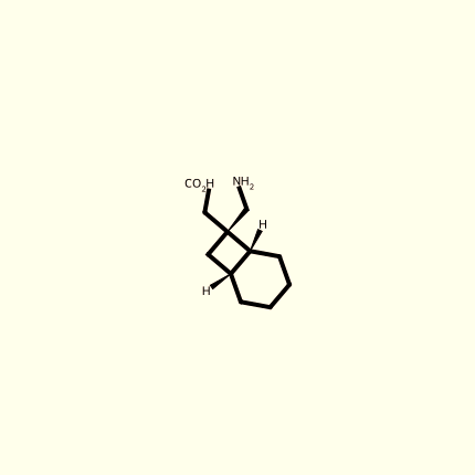 NC[C@]1(CC(=O)O)C[C@H]2CCCC[C@H]21